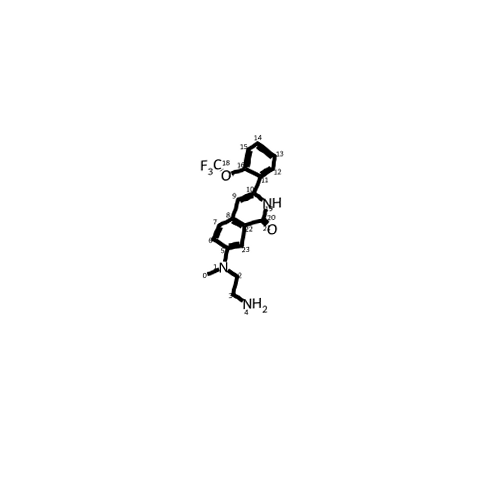 CN(CCN)c1ccc2cc(-c3ccccc3OC(F)(F)F)[nH]c(=O)c2c1